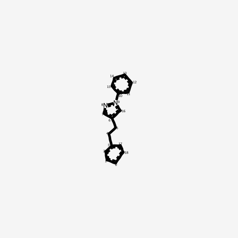 c1ccc(CCc2cnn(-c3ccccc3)c2)cc1